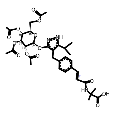 CC(=O)OC[C@H]1O[C@@H](Oc2n[nH]c(C(C)C)c2Cc2ccc(/C=C/C(=O)NC(C)(C)C(=O)O)cc2)[C@H](OC(C)=O)[C@@H](OC(C)=O)[C@@H]1OC(C)=O